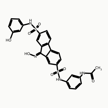 CC(=O)Nc1cccc(NS(=O)(=O)c2ccc3c(c2)C(=NO)c2cc(S(=O)(=O)Nc4cccc(O)c4)ccc2-3)c1